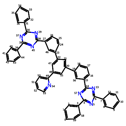 c1ccc(-c2nc(-c3ccccc3)nc(-c3cccc(-c4cc(-c5cccc(-c6nc(-c7ccccc7)nc(-c7ccccc7)n6)c5)cc(-c5ccccn5)c4)c3)n2)cc1